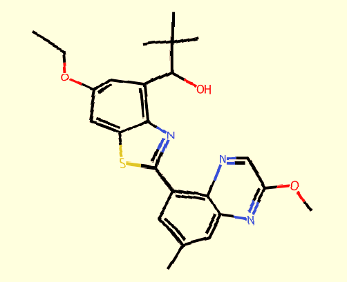 CCOc1cc(C(O)C(C)(C)C)c2nc(-c3cc(C)cc4nc(OC)cnc34)sc2c1